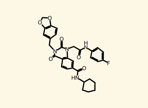 O=C(Cn1c(=O)n(Cc2ccc3c(c2)OCO3)c(=O)c2ccc(C(=O)NC3CCCCC3)cc21)Nc1ccc(F)cc1